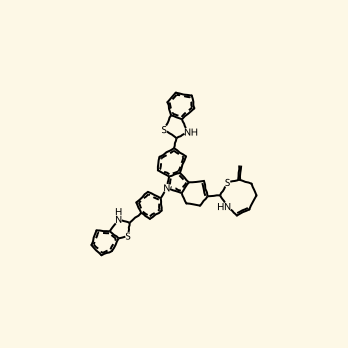 C=C1CC/C=C\NC(C2=Cc3c(n(-c4ccc(C5Nc6ccccc6S5)cc4)c4ccc(C5Nc6ccccc6S5)cc34)CC2)S1